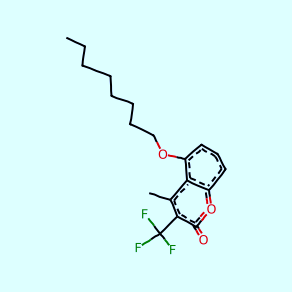 CCCCCCCCOc1cccc2oc(=O)c(C(F)(F)F)c(C)c12